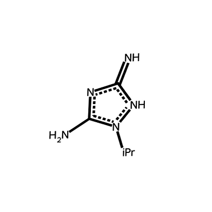 CC(C)n1[nH]c(=N)nc1N